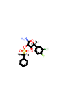 [2H]C([2H])(c1ccccc1)S(=O)(=O)OC1=C(N)O[C@@]([2H])(c2ccc(F)c(Cl)c2)C1=O